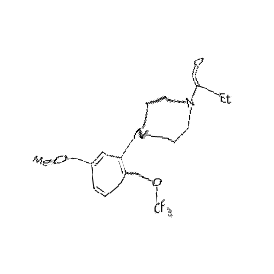 CCC(=O)N1CCN(c2cc(OC)ccc2OC(F)(F)F)CC1